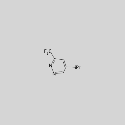 CC(C)c1cnnc(C(F)(F)F)c1